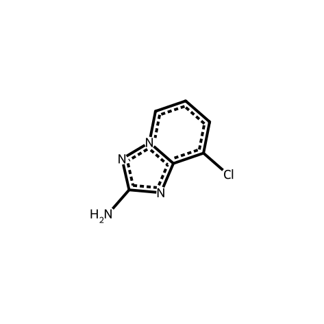 Nc1nc2c(Cl)cccn2n1